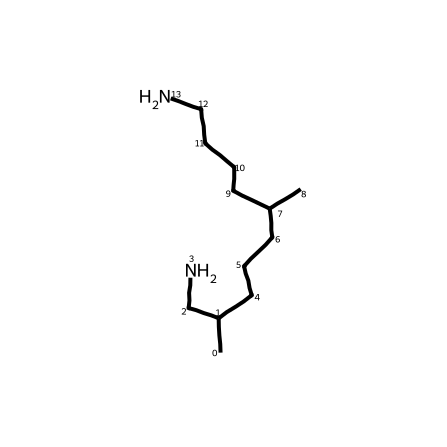 CC(CN)CCCC(C)CCCCN